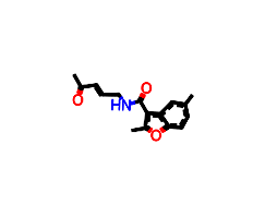 CC(=O)/C=C/CNC(=O)c1c(C)oc2ccc(C)cc12